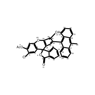 CC(=O)Oc1cc2c(cc1Cl)C1(OC(=O)c3ccccc31)c1cc(-c3c4ccccc4c(C)c4ccccc34)c(OC(C)=O)cc1O2